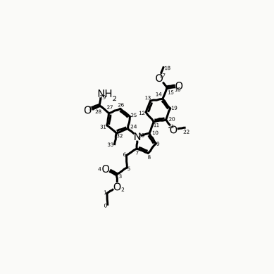 CCOC(=O)CCc1ccc(-c2ccc(C(=O)OC)cc2OC)n1-c1ccc(C(N)=O)cc1C